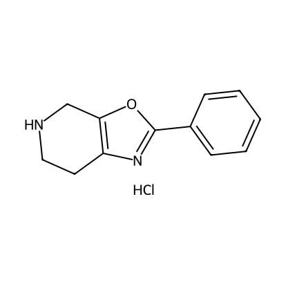 Cl.c1ccc(-c2nc3c(o2)CNCC3)cc1